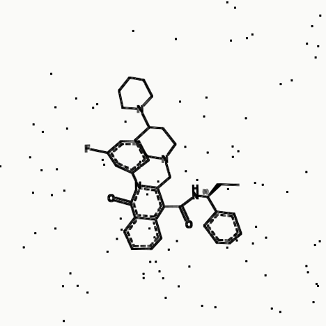 CC[C@H](NC(=O)c1c(CN2CCC(N3CCCCC3)CC2)n(-c2cccc(F)c2)c(=O)c2ccccc12)c1ccccc1